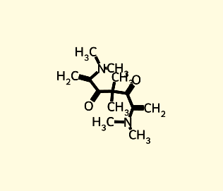 C=C(C(=O)C(C)(C)C(=O)C(=C)N(C)C)N(C)C